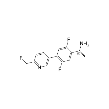 C[C@H](N)c1cc(F)c(-c2ccc(CF)nc2)cc1F